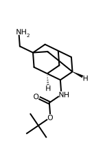 CC(C)(C)OC(=O)NC1[C@@H]2CC3C[C@H]1CC(CN)(C3)C2